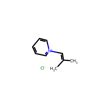 CC(C)=C[n+]1ccccc1.[Cl-]